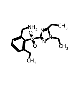 CCc1cccc(CN)c1S(=O)(=O)c1nc(CC)n(CC)n1